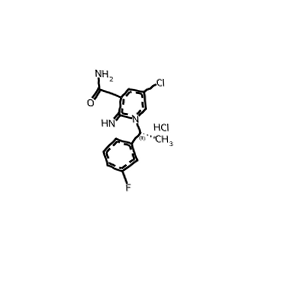 C[C@H](c1cccc(F)c1)n1cc(Cl)cc(C(N)=O)c1=N.Cl